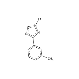 CCn1cnc(-c2cccc(C)c2)n1